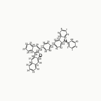 c1ccc(-n2c3ccccc3c3cc(-c4ccc(-c5cc6ccccc6c6c5oc5cc7ccccc7cc56)cc4)ccc32)cc1